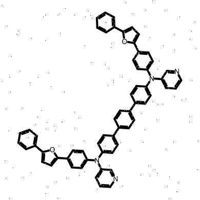 c1ccc(-c2ccc(-c3ccc(N(c4ccc(-c5ccc(-c6ccc(N(c7ccc(-c8ccc(-c9ccccc9)o8)cc7)c7cccnc7)cc6)cc5)cc4)c4cccnc4)cc3)o2)cc1